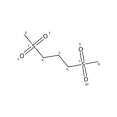 CS(=O)(=O)CCCS(C)(=O)=O